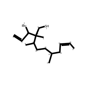 C=CC(C(C)CC)C(C)(CS)C(C)CCC(C)C/C=C\C